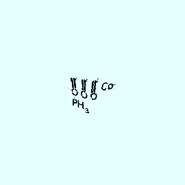 P.[C]=O.[C]=O.[C]=O.[Co]